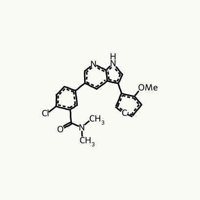 COc1ccccc1-c1c[nH]c2ncc(-c3ccc(Cl)c(C(=O)N(C)C)c3)cc12